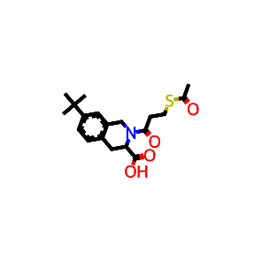 CC(=O)SCCC(=O)N1Cc2cc(C(C)(C)C)ccc2CC1C(=O)O